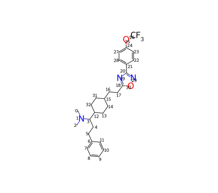 CN(C)C(CCc1ccccc1)C1CCC(CCc2nc(-c3ccc(OC(F)(F)F)cc3)no2)CC1